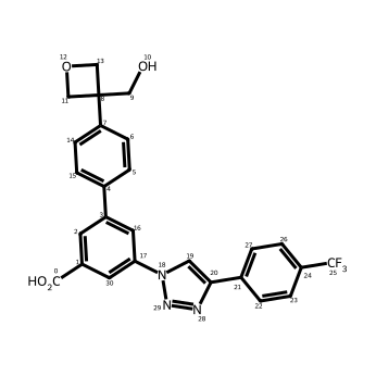 O=C(O)c1cc(-c2ccc(C3(CO)COC3)cc2)cc(-n2cc(-c3ccc(C(F)(F)F)cc3)nn2)c1